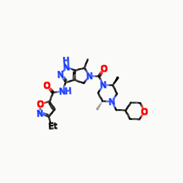 CCc1cc(C(=O)Nc2n[nH]c3c2CN(C(=O)N2C[C@@H](C)N(CC4CCOCC4)C[C@@H]2C)C3C)on1